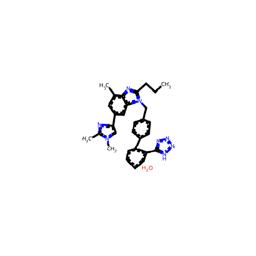 CCCc1nc2c(C)cc(-c3cn(C)c(C)n3)cc2n1Cc1ccc(-c2ccccc2-c2nnn[nH]2)cc1.O